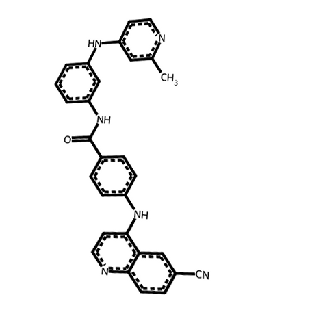 Cc1cc(Nc2cccc(NC(=O)c3ccc(Nc4ccnc5ccc(C#N)cc45)cc3)c2)ccn1